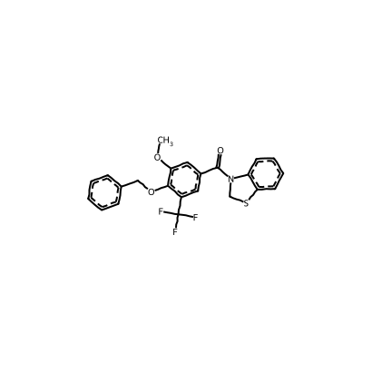 COc1cc(C(=O)N2CSc3ccccc32)cc(C(F)(F)F)c1OCc1ccccc1